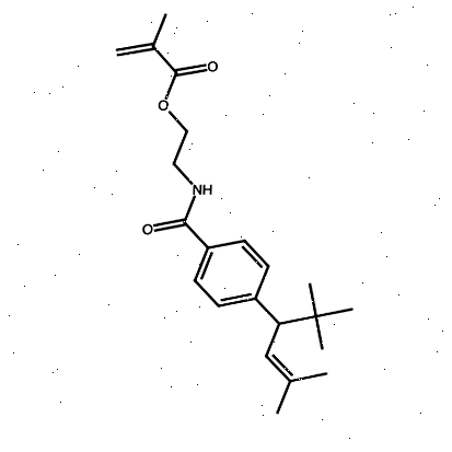 C=C(C)C(=O)OCCNC(=O)c1ccc(C(C=C(C)C)C(C)(C)C)cc1